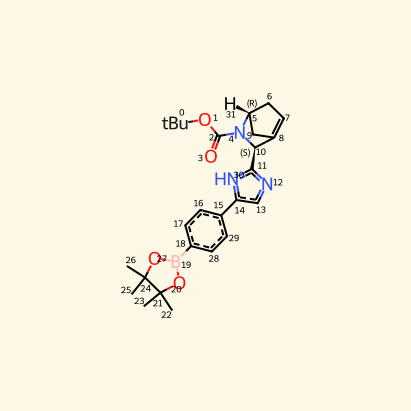 CC(C)(C)OC(=O)N1[C@@H]2CC=C(C2)[C@H]1c1ncc(-c2ccc(B3OC(C)(C)C(C)(C)O3)cc2)[nH]1